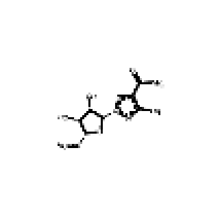 NC(=O)c1nn([C@@H]2O[C@H](CO)[C@@H](O)[C@H]2O)nc1O